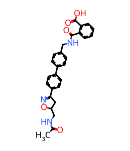 CC(=O)NCC1CC(c2ccc(-c3ccc(CNC(=O)c4ccccc4C(=O)O)cc3)cc2)=NO1